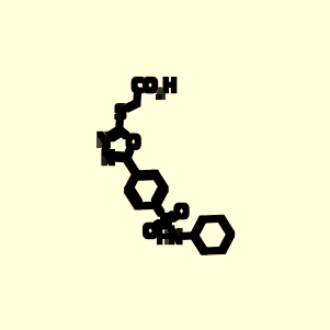 O=C(O)CSc1nnc(-c2ccc(S(=O)(=O)NC3CCCCC3)cc2)o1